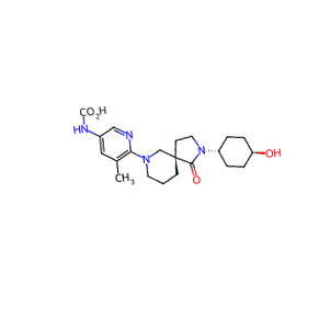 Cc1cc(NC(=O)O)cnc1N1CCC[C@]2(CCN([C@H]3CC[C@H](O)CC3)C2=O)C1